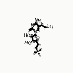 C=C1N=C(N)C(CCO)=CN1[C@@H]1OC(CCP(=C)(C)C)[C@@H](O)[C@H]1O